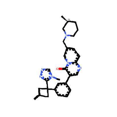 CC1CC(c2cccc(-c3cnc4ccc(CN5CCC[C@H](C)C5)cn4c3=O)c2)(c2nncn2C)C1